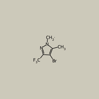 [CH2]n1nc(C(F)(F)F)c(Br)c1C